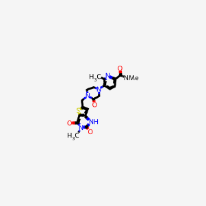 CNC(=O)c1ccc(N2CCN(Cc3cc4[nH]c(=O)n(C)c(=O)c4s3)C(=O)C2)c(C)n1